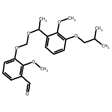 COc1c(C=O)cccc1OCOC(C)c1cccc(OCC(C)C)c1OC